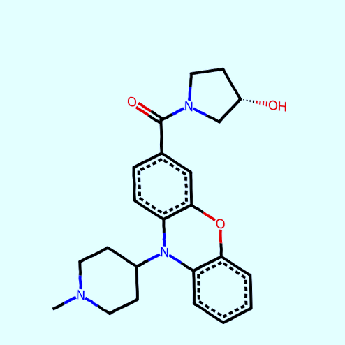 CN1CCC(N2c3ccccc3Oc3cc(C(=O)N4CC[C@H](O)C4)ccc32)CC1